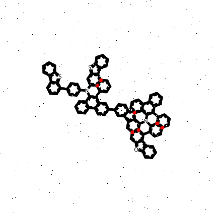 c1ccc(-c2c(N(c3ccc(-c4cccc5c4sc4ccccc45)cc3)c3ccc4c(c3)sc3ccccc34)c3ccccc3c3ccc(-c4ccc5sc6c(N(c7ccccc7-c7cccc8oc9ccccc9c78)c7c(-c8ccccc8)c8ccccc8c8ccccc78)cccc6c5c4)cc23)cc1